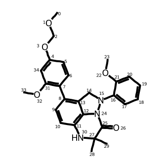 COCOc1ccc(-c2ccc3c4c2CN(c2ccccc2OC)N4C(=O)C(C)(C)N3)c(OC)c1